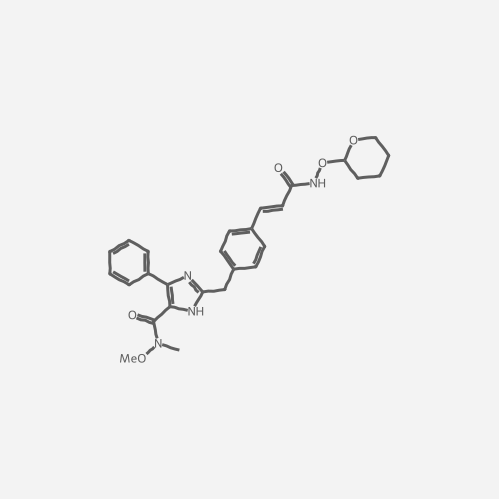 CON(C)C(=O)c1[nH]c(Cc2ccc(/C=C/C(=O)NOC3CCCCO3)cc2)nc1-c1ccccc1